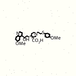 COc1ccc(SCCN2CC[C@@H](CC[C@@H](O)c3ccnc4ccc(OC)cc34)[C@@H](C(=O)O)C2)cc1